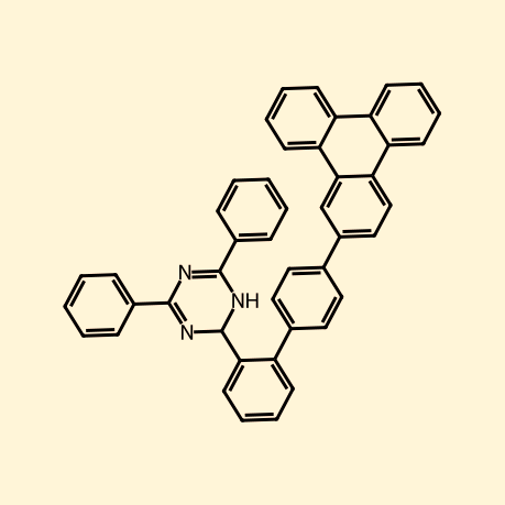 c1ccc(C2=NC(c3ccccc3-c3ccc(-c4ccc5c6ccccc6c6ccccc6c5c4)cc3)NC(c3ccccc3)=N2)cc1